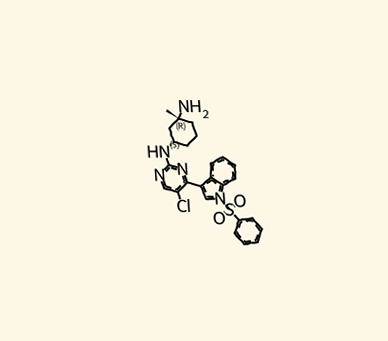 C[C@@]1(N)CCC[C@H](Nc2ncc(Cl)c(-c3cn(S(=O)(=O)c4ccccc4)c4ccccc34)n2)C1